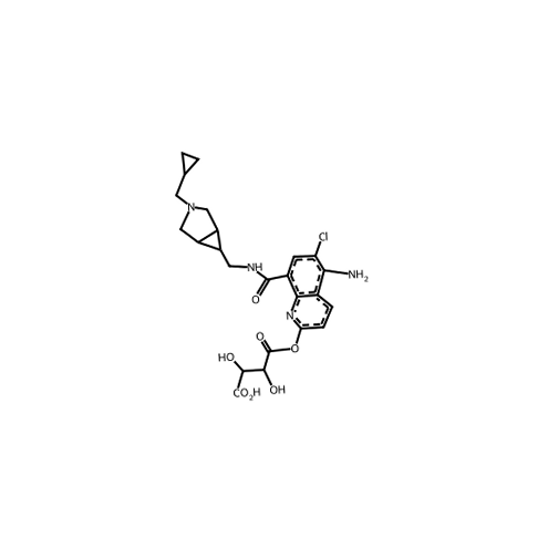 Nc1c(Cl)cc(C(=O)NCC2C3CN(CC4CC4)CC23)c2nc(OC(=O)C(O)C(O)C(=O)O)ccc12